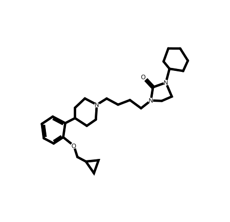 O=C1N(CCCCN2CCC(c3ccccc3OCC3CC3)CC2)CCN1C1CCCCC1